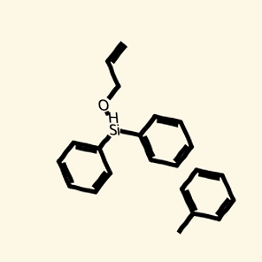 C=CCO[SiH](c1ccccc1)c1ccccc1.Cc1ccccc1